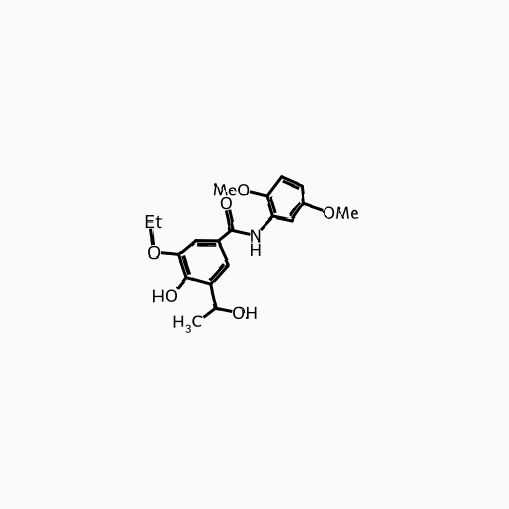 CCOc1cc(C(=O)Nc2cc(OC)ccc2OC)cc(C(C)O)c1O